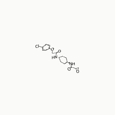 O=C(COc1ccc(Cl)cc1)N[C@H]1CC[C@H](NC(=O)C2CO2)CC1